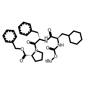 CC(C)(C)OC(=O)N[C@H](CC1CCCCC1)C(=O)N[C@@H](Cc1ccccc1)C(=O)N1CCC[C@@H]1C(=O)OCc1ccccc1